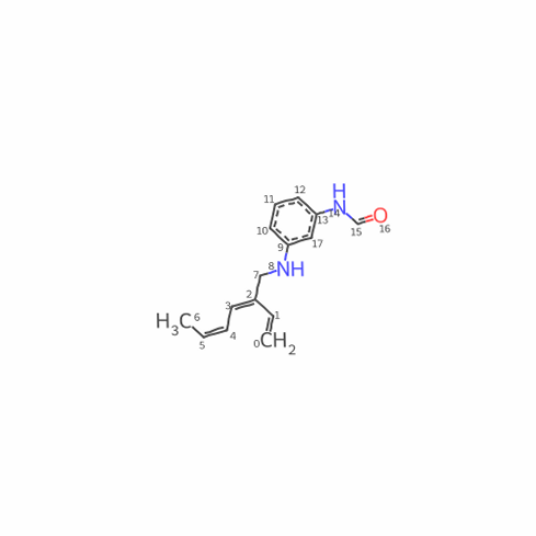 C=C/C(=C\C=C/C)CNc1cccc(NC=O)c1